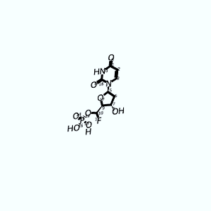 O=c1ccn([C@H]2C[C@H](O)[C@@H](C(F)OP(=O)(O)O)O2)c(=O)[nH]1